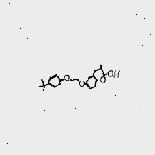 CC(Cc1cccc(OCCOc2ccc(C(C)(C)C)cc2)c1)C(=O)O